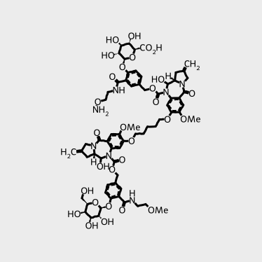 C=C1C[C@H]2C(O)N(C(=O)OCc3ccc(O[C@@H]4O[C@H](C(=O)O)[C@@H](O)[C@H](O)[C@H]4O)c(C(=O)NCCON)c3)c3cc(OCCCCCOc4cc5c(cc4OC)C(=O)N4CC(=C)C[C@H]4C(O)N5C(=O)OCc4ccc(O[C@@H]5O[C@H](CO)[C@H](O)[C@H](O)[C@H]5O)c(C(=O)NCCOC)c4)c(OC)cc3C(=O)N2C1